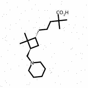 CC(C)(CCC[C@@H]1C[C@@H](CN2CCCCC2)C1(C)C)C(=O)O